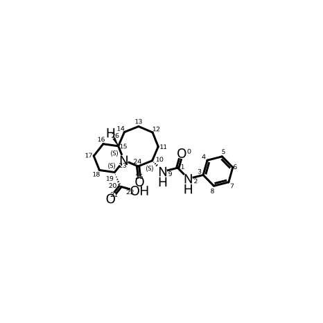 O=C(Nc1ccccc1)N[C@H]1CCCC[C@H]2CCC[C@@H](C(=O)O)N2C1=O